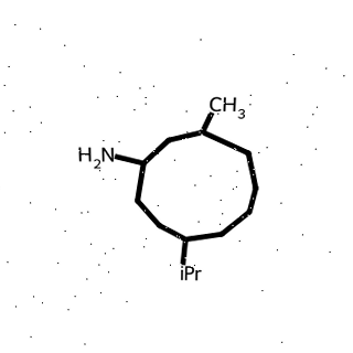 CC1CCCCC(C(C)C)CCC(N)C1